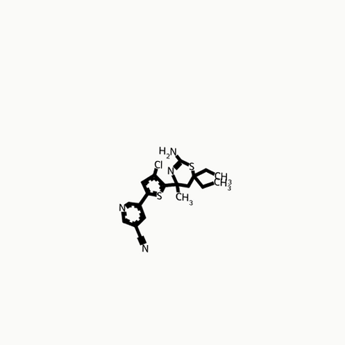 CCC1(CC)CC(C)(c2sc(-c3cncc(C#N)c3)cc2Cl)N=C(N)S1